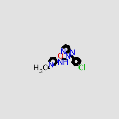 CCN1CCCC(NC(=O)Cn2c(-c3ccc(Cl)cc3)nc3cccnc32)C1